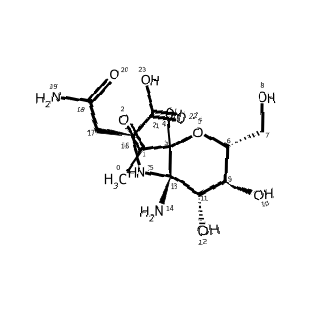 CC(=O)C1(O)O[C@H](CO)[C@@H](O)[C@H](O)[C@]1(N)N[C@@H](CC(N)=O)C(=O)O